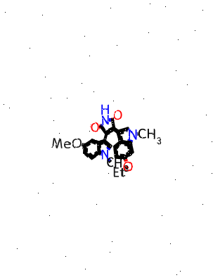 CCOc1ccc2c(C3=C(c4cn(C)c5ccc(OC)cc45)C(=O)NC3=O)cn(C)c2c1